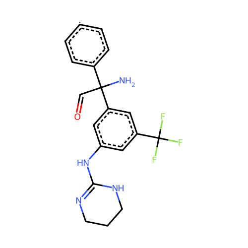 NC(C=O)(c1cc[c]cc1)c1cc(NC2=NCCCN2)cc(C(F)(F)F)c1